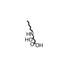 CCCCCCNCC(O)CC(=O)O